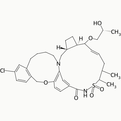 CC1C/C=C/C(OC[C@@H](C)O)[C@@H]2CC[C@H]2CN2CCCCc3cc(Cl)ccc3COc3ccc(cc32)C(=O)NS(=O)(=O)C1C